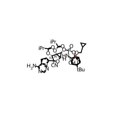 CC(C)C(=O)O[C@@H]1[C@@]2(OC(=O)C(C)C)C(OP(=O)(N[C@@H](C)C(=O)OCC3CC3)Oc3ccc(C(C)(C)C)cc3)[C@H]2O[C@@]1(C#N)c1ccc2c(N)ncnn12